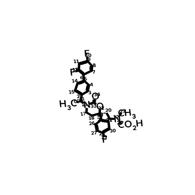 C[C@@H](c1ccc(-c2ccc(F)cc2F)cc1)N1CC[C@](CCN(C)C(=O)O)(c2ccc(F)cc2)OC1=O